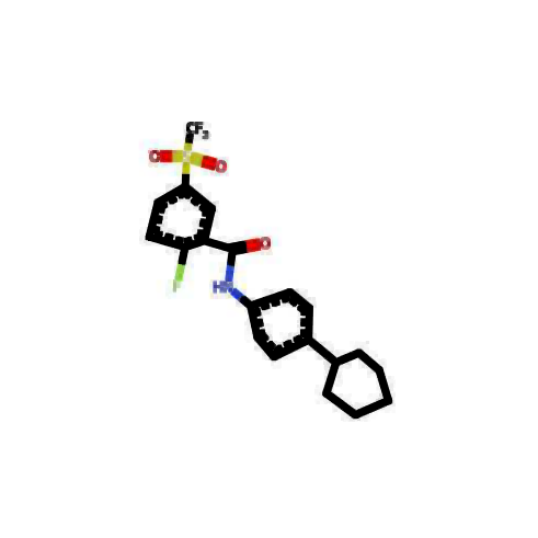 O=C(Nc1ccc(C2CCCCC2)cc1)c1cc(S(=O)(=O)C(F)(F)F)ccc1F